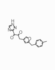 Cc1ccc(Cc2cc(CC(=O)C(=O)c3nc[nH]n3)co2)cc1